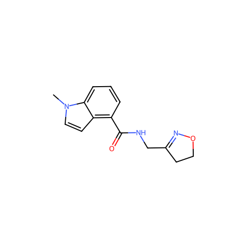 Cn1ccc2c(C(=O)NCC3=NOCC3)cccc21